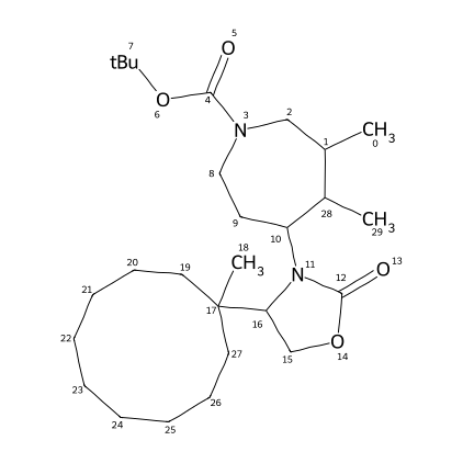 CC1CN(C(=O)OC(C)(C)C)CCC(N2C(=O)OCC2C2(C)CCCCCCCCC2)C1C